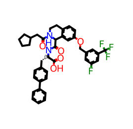 O=C(N[C@@H](Cc1ccc(-c2ccccc2)cc1)C(=O)O)C1c2cc(OCc3cc(F)cc(C(F)(F)F)c3)ccc2CCN1C(=O)CC1CCCC1